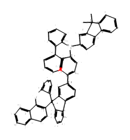 CC1(C)c2ccccc2-c2ccc(N(c3ccc(-c4ccc5c(c4)C4(c6ccccc6Oc6c4ccc4ccccc64)c4ccccc4-5)cc3)c3ccccc3-c3ccccc3)cc21